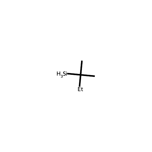 [CH2]CC(C)(C)[SiH3]